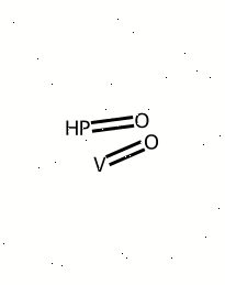 O=P.[O]=[V]